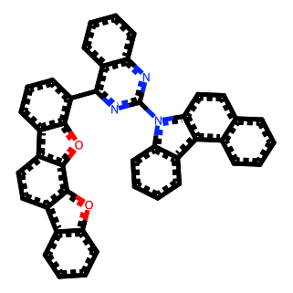 c1ccc2c(c1)ccc1c2c2ccccc2n1-c1nc(-c2cccc3c2oc2c3ccc3c4ccccc4oc32)c2ccccc2n1